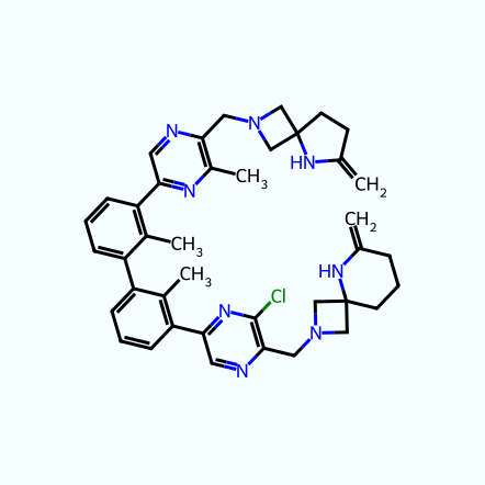 C=C1CCC2(CN(Cc3ncc(-c4cccc(-c5cccc(-c6cnc(CN7CC8(CCCC(=C)N8)C7)c(Cl)n6)c5C)c4C)nc3C)C2)N1